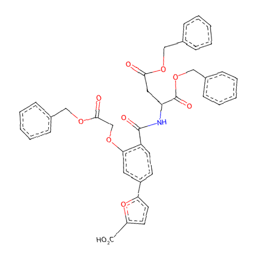 O=C(COc1cc(-c2ccc(C(=O)O)o2)ccc1C(=O)NC(CC(=O)OCc1ccccc1)C(=O)OCc1ccccc1)OCc1ccccc1